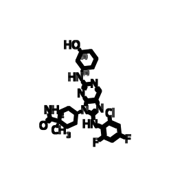 C[C@]1(C(N)=O)CC[C@@H](n2c(Nc3c(F)cc(F)cc3Cl)nc3cnc(N[C@H]4CCC[C@H](O)C4)nc32)CC1